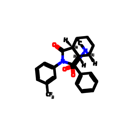 O=C1[C@@H]2[C@H]3CCC(CN3C(=O)c3ccccc3)[C@@H]2C(=O)N1c1cccc(C(F)(F)F)c1